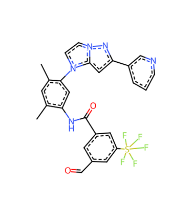 Cc1cc(C)c(-n2ccn3nc(-c4cccnc4)cc23)cc1NC(=O)c1cc(C=O)cc(S(F)(F)(F)(F)F)c1